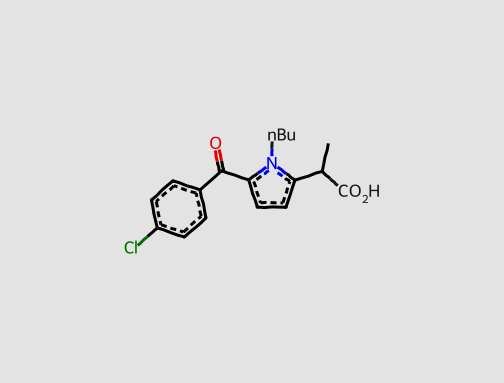 CCCCn1c(C(=O)c2ccc(Cl)cc2)ccc1C(C)C(=O)O